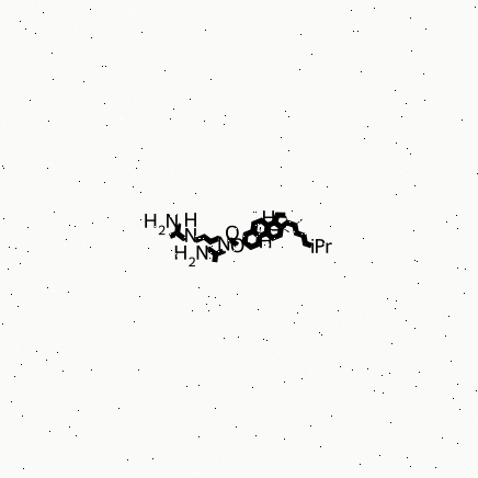 CC(C)CCC[C@@H](C)[C@H]1CC[C@H]2[C@@H]3CC=C4C[C@@H](OC(=O)N(CCCCNCC(C)CN)CC(C)CN)CC[C@]4(C)[C@H]3CC[C@]12C